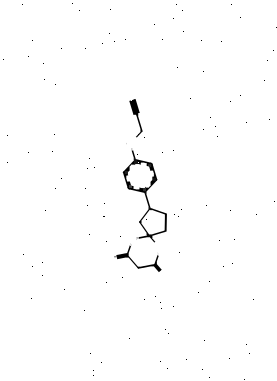 C#CCOc1ccc(C2CCC3(C2)OC(=O)CC(=O)O3)cc1